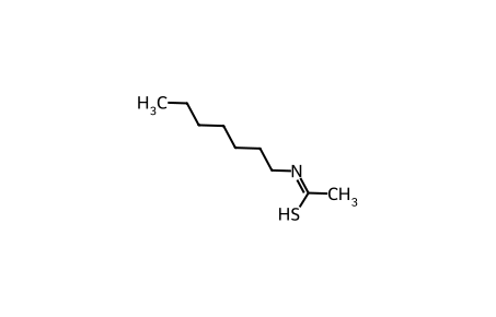 CCCCCCC/N=C(/C)S